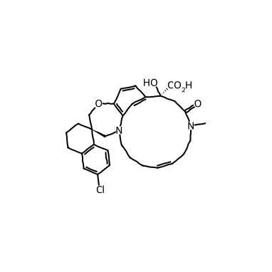 CN1CC/C=C\CCCN2C[C@@]3(CCCc4cc(Cl)ccc43)COc3ccc(cc32)[C@](O)(C(=O)O)CC1=O